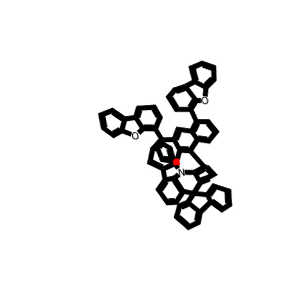 c1ccc2c(c1)-c1ccccc1C21c2cccc(-c3c4cccc(-c5cccc6c5oc5ccccc56)c4cc4c(-c5cccc6c5oc5ccccc56)cccc34)c2-n2c3ccccc3c3cccc1c32